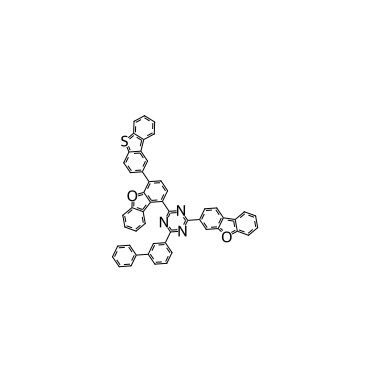 c1ccc(-c2cccc(-c3nc(-c4ccc5c(c4)oc4ccccc45)nc(-c4ccc(-c5ccc6sc7ccccc7c6c5)c5oc6ccccc6c45)n3)c2)cc1